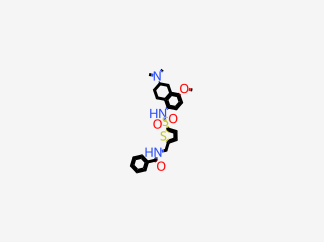 COc1ccc(NS(=O)(=O)c2ccc(CNC(=O)c3ccccc3)s2)c2c1C[C@@H](N(C)C)CC2